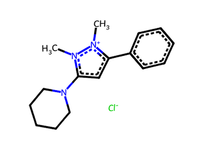 Cn1c(N2CCCCC2)cc(-c2ccccc2)[n+]1C.[Cl-]